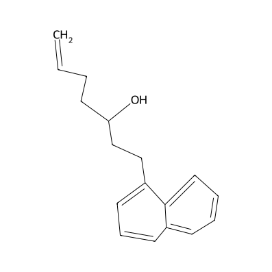 C=CCCC(O)CCc1cccc2ccccc12